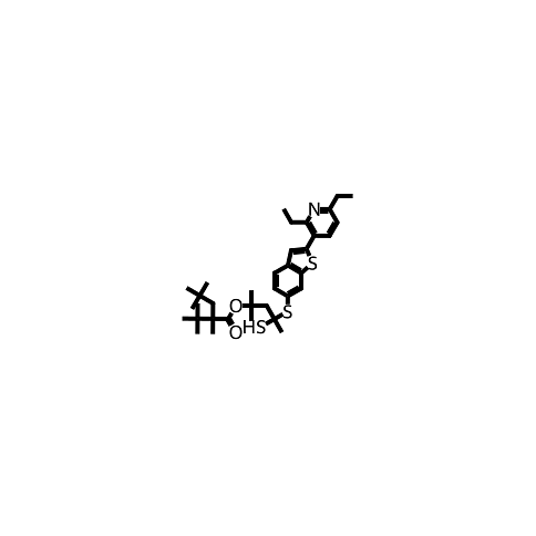 CCc1ccc(-c2cc3ccc(SC(C)(S)CC(C)(C)OC(=O)C(C)(CC(C)(C)C)C(C)(C)C)cc3s2)c(CC)n1